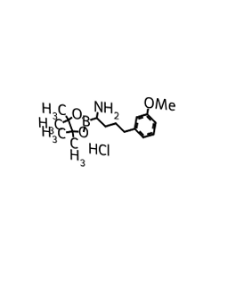 COc1cccc(CCCC(N)B2OC(C)(C)C(C)(C)O2)c1.Cl